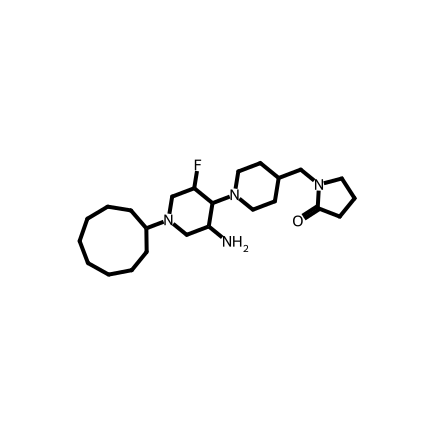 NC1CN(C2CCCCCCCC2)CC(F)C1N1CCC(CN2CCCC2=O)CC1